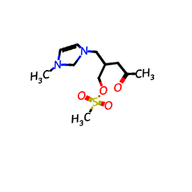 CC(=O)CC(COS(C)(=O)=O)CN1C=CN(C)C1